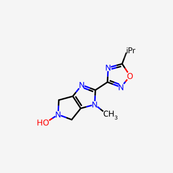 CC(C)c1nc(-c2nc3c(n2C)CN(O)C3)no1